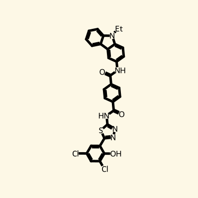 CCn1c2ccccc2c2cc(NC(=O)c3ccc(C(=O)Nc4nnc(-c5cc(Cl)cc(Cl)c5O)s4)cc3)ccc21